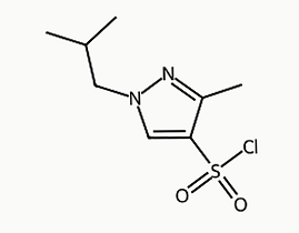 Cc1nn(CC(C)C)cc1S(=O)(=O)Cl